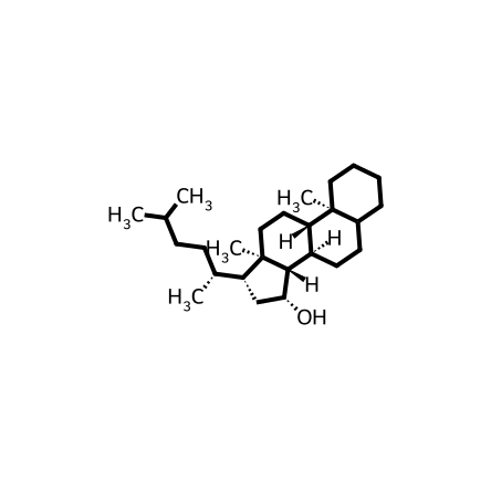 CC(C)CC[C@@H](C)[C@H]1C[C@@H](O)[C@H]2[C@@H]3CCC4CCCC[C@]4(C)[C@H]3CC[C@@]21C